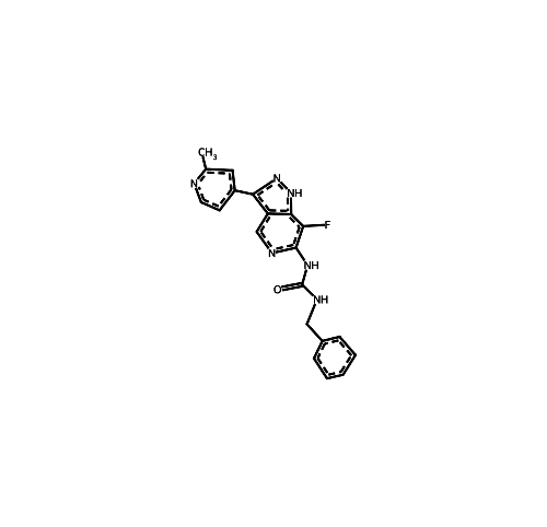 Cc1cc(-c2n[nH]c3c(F)c(NC(=O)NCc4ccccc4)ncc23)ccn1